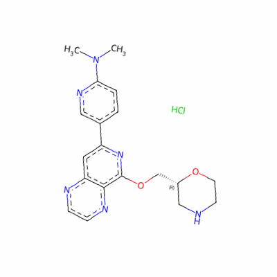 CN(C)c1ccc(-c2cc3nccnc3c(OC[C@H]3CNCCO3)n2)cn1.Cl